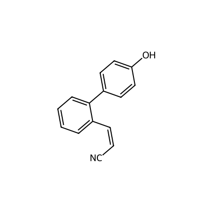 N#C/C=C\c1ccccc1-c1ccc(O)cc1